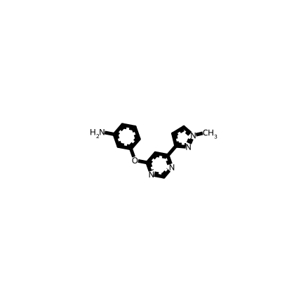 Cn1ccc(-c2cc(Oc3cccc(N)c3)ncn2)n1